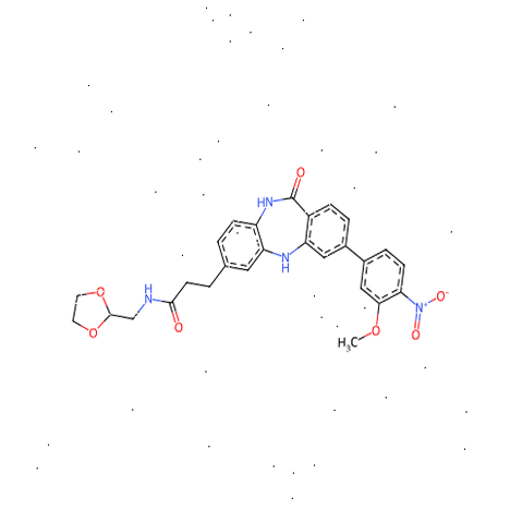 COc1cc(-c2ccc3c(c2)Nc2cc(CCC(=O)NCC4OCCO4)ccc2NC3=O)ccc1[N+](=O)[O-]